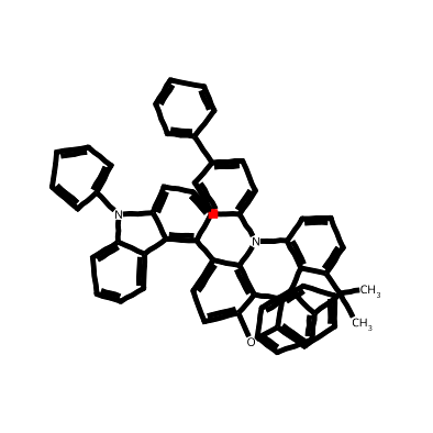 CC1(C)c2ccccc2-c2c(N(c3ccc(-c4ccccc4)cc3)c3c(-c4cccc5c4c4ccccc4n5-c4ccccc4)ccc4oc5ccccc5c34)cccc21